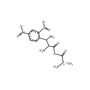 C[C@H](N)C(=O)OC(=O)C(N)C(N)c1ccc([N+](=O)[O-])cc1[N+](=O)[O-]